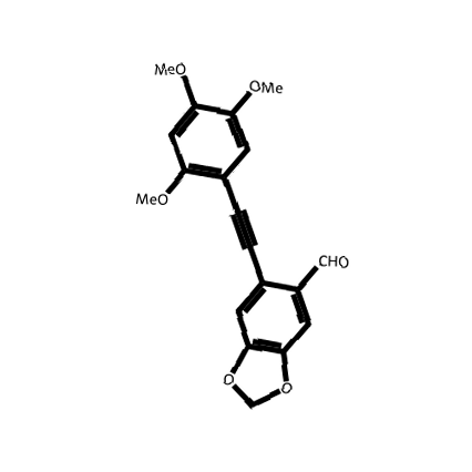 COc1cc(OC)c(OC)cc1C#Cc1cc2c(cc1C=O)OCO2